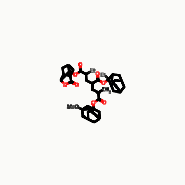 CCC(CC(CC(C)C(=O)OC12CC3CC(CC(OC)(C3)C1)C2)C(=O)OC1(CC)C2CC3CC(C2)CC1C3)C(=O)OC1C2CC3C(=O)OC1C3C2